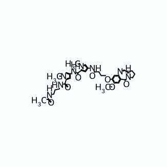 COc1cc2c(cc1OCCCC(=O)Nc1cc(C(=O)Nc3cc(C(=O)NCCCNC(C)=O)n(C)c3)n(C)c1)N=C[C@@H]1CCCN1C2=O